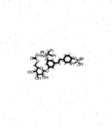 CCCCCCCC(=O)OCC1OC(Oc2cc(/C=C/c3ccc(O[Si](C(C)C)(C(C)C)C(C)C)cc3)cc(O[Si](C(C)C)(C(C)C)C(C)C)c2)C(O)C(O)C1O